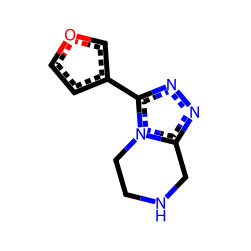 c1cc(-c2nnc3n2CCNC3)co1